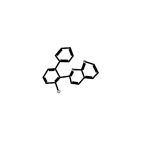 Clc1cccc(-c2ccccc2)c1-c1ccc2cccnc2n1